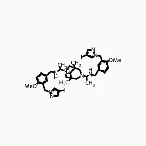 COc1ccc(CNC(C)N2CC3(C)CN(C(C)NCc4ccc(OC)c(Cn5cc(I)cn5)c4)CC(C)(C2)C3=O)cc1Cn1cc(I)cn1